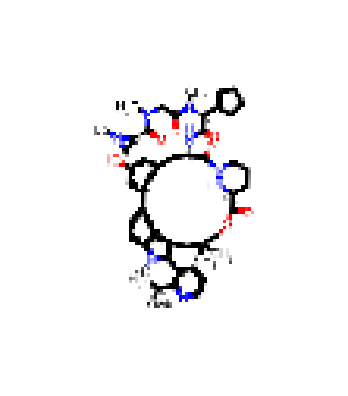 CCN1C[C@@H]1C(=O)N(C)CC(=O)N(C)[C@H](C(=O)N[C@H]1Cc2cc(O)cc(c2)-c2ccc3c(c2)c(c(-c2cccnc2[C@H](C)OC)n3CC)CC(C)(C)COC(=O)[C@@H]2CCCN(N2)C1=O)C1=CCCC1